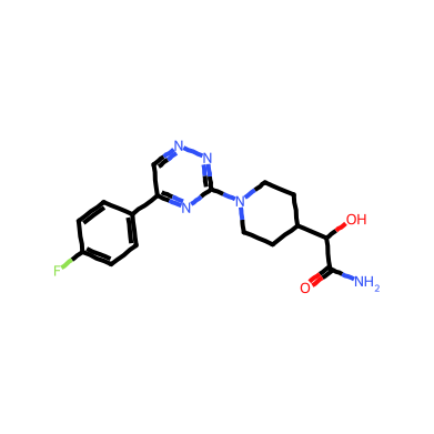 NC(=O)C(O)C1CCN(c2nncc(-c3ccc(F)cc3)n2)CC1